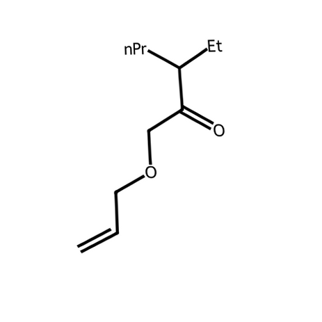 C=CCOCC(=O)C(CC)CCC